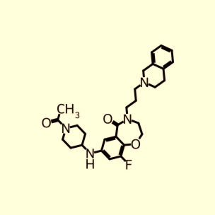 CC(=O)N1CCC(Nc2cc(F)c3c(c2)C(=O)N(CCCN2CCc4ccccc4C2)CCO3)CC1